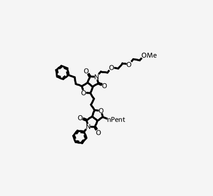 CCCCCC1OC(CCC2OC(CCc3ccccc3)C3C(=O)N(CCOCCOCCOC)C(=O)C23)C2C(=O)N(c3ccccc3)C(=O)C12